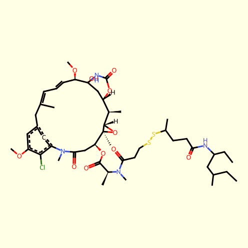 CCC(C)CC(CC)NC(=O)CCC(C)SSCCC(=O)N(C)[C@@H](C)C(=O)O[C@H]1CC(=O)N(C)c2cc(cc(OC)c2Cl)C/C(C)=C/C=C/[C@@H](OC)[C@@]2(O)C[C@H](OC(=O)N2)[C@@H](C)[C@@H]2O[C@@]12C